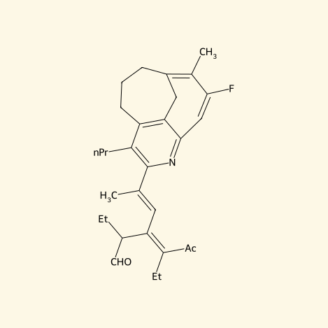 CCCc1c(/C(C)=C/C(=C(/CC)C(C)=O)C(C=O)CC)nc2c3c1CCCC(=C(C)C(F)=C2)C3